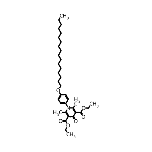 CCCCCCCCCCCCCCCCCOc1ccc(-n2c(C)c(C(=O)OCC)c(=O)c(C(=O)OCC)c2C)cc1